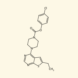 CCc1cc2c(N3CCN(C(=O)Oc4ccc(Cl)cc4)CC3)ncnc2s1